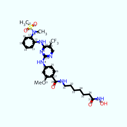 COc1cc(Nc2ncc(C(F)(F)F)c(Nc3ccccc3N(C)S(C)(=O)=O)n2)ccc1C(=O)NCCCCCCC(=O)NO